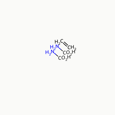 C=C.NC(=O)O.NC(=O)O